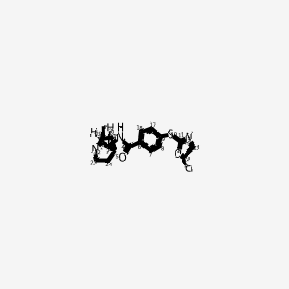 C[C@H]1[C@H](NC(=O)c2ccc(Sc3ncc(Cl)o3)cc2)C2CCN1CC2